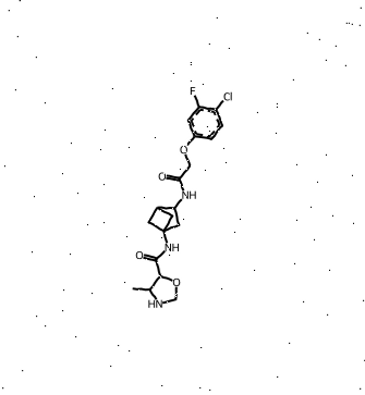 CC1NCOC1C(=O)NC12CC(C1)C(NC(=O)COc1ccc(Cl)c(F)c1)C2